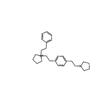 c1ccc(CC[N+]2(CCc3ccc(CCN4CCCC4)cc3)CCCC2)cc1